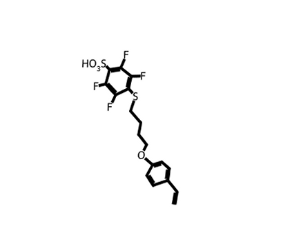 C=Cc1ccc(OCCCCSc2c(F)c(F)c(S(=O)(=O)O)c(F)c2F)cc1